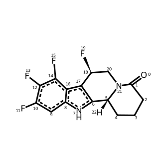 O=C1CCC[C@@H]2c3[nH]c4cc(F)c(F)c(F)c4c3[C@@H](F)CN12